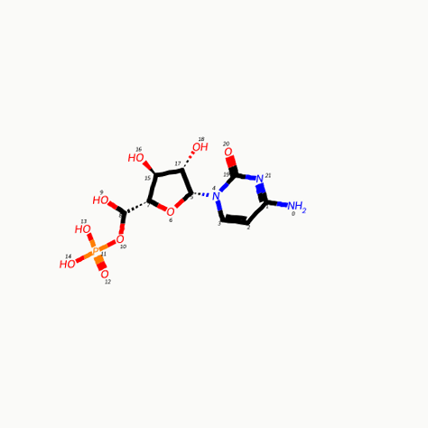 Nc1ccn([C@@H]2O[C@H](C(O)OP(=O)(O)O)[C@@H](O)[C@@H]2O)c(=O)n1